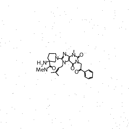 CNC(=O)C1(N)CCCN(c2nc3c(c(=O)n(CC(=O)c4ccccc4)c(=O)n3C)n2CC=C(C)C)C1